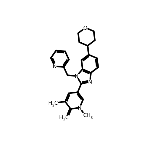 C=C1C(C)=CC(c2nc3ccc(C4CCOCC4)cc3n2Cc2ccccn2)=CN1C